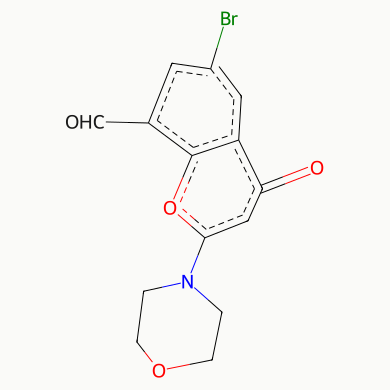 O=Cc1cc(Br)cc2c(=O)cc(N3CCOCC3)oc12